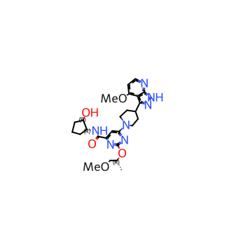 COC[C@@H](C)Oc1nc(C(=O)N[C@@H]2CCC[C@H]2O)cc(N2CCC(c3n[nH]c4nccc(OC)c34)CC2)n1